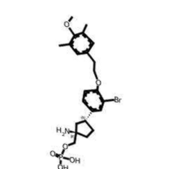 COc1c(C)cc(CCOc2ccc([C@@H]3CC[C@](N)(COP(=O)(O)O)C3)cc2Br)cc1C